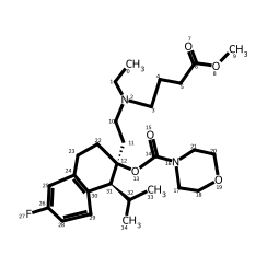 CCN(CCCC(=O)OC)CC[C@@]1(OC(=O)N2CCOCC2)CCc2cc(F)ccc2[C@@H]1C(C)C